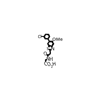 COc1cc2nc(CC(=O)NCC(=O)O)sc2cc1-c1cccc(Cl)c1